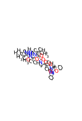 CC[C@H](C)[C@@H]([C@@H](CC(=O)N1CCCC1[C@H](OC)[C@@H](C)C(=O)N[C@@]1(C(=O)N2Cc3ccccc3CO2)C[C@@H]1c1ccccc1)OC)N(C)C(=O)[C@@H](NC(=O)[C@@H](NC)C(C)C)C(C)C